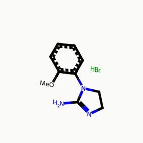 Br.COc1ccccc1N1CCN=C1N